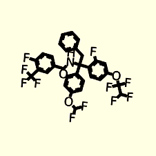 O=C(NC(Cc1ccccc1)(c1ccc(OC(F)F)cc1)c1ccc(OC(F)(F)C(F)F)cc1F)c1ccc(F)c(C(F)(F)F)c1